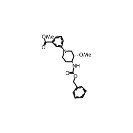 COC(=O)c1cccc(N2CC[C@@H](NC(=O)OCc3ccccc3)[C@@H](OC)C2)c1